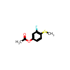 CSc1ccc(OC(C)=O)cc1F